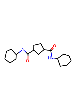 O=C(NC1CCCCC1)C1CCC(C(=O)NC2CCCCC2)C1